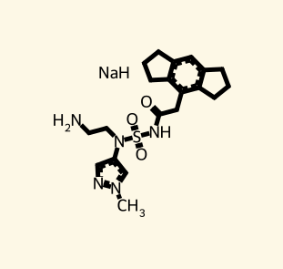 Cn1cc(N(CCN)S(=O)(=O)NC(=O)Cc2c3c(cc4c2CCC4)CCC3)cn1.[NaH]